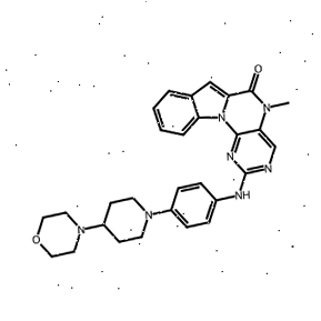 Cn1c(=O)c2cc3ccccc3n2c2nc(Nc3ccc(N4CCC(N5CCOCC5)CC4)cc3)ncc21